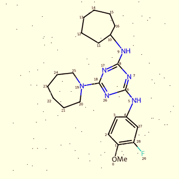 COc1ccc(Nc2nc(NC3CCCCCC3)nc(N3CCCCCC3)n2)cc1F